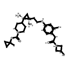 CC1(OC(=O)N2CCC([C@@]3(N)C[C@@]3(N)CCOc3ccc(CC(=O)N4CC(F)C4)c(F)c3)CC2)CC1